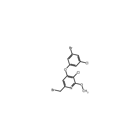 COc1nc(CBr)cc(Oc2cc(Cl)cc(Br)c2)c1Cl